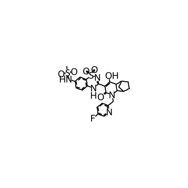 CS(=O)(=O)Nc1ccc2c(c1)S(=O)(=O)N=C(C1=C(O)C3C4CCC(C4)C3N(Cc3ccc(F)cn3)C1=O)N2